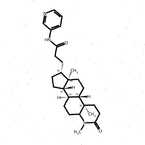 CN1C(=O)CC[C@@]2(C)C1CC[C@H]1[C@@H]3CC[C@H](CCC(=O)Nc4cccnc4)[C@@]3(C)CC[C@@H]12